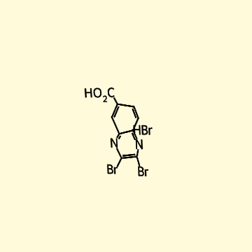 Br.O=C(O)c1ccc2nc(Br)c(Br)nc2c1